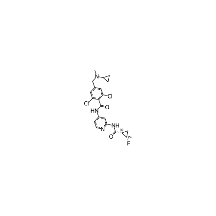 CN(Cc1cc(Cl)c(C(=O)Nc2ccnc(NC(=O)[C@@H]3C[C@@H]3F)c2)c(Cl)c1)C1CC1